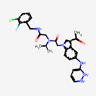 CC(=O)c1cn(CC(=O)N(CC(=O)NCc2cccc(Cl)c2F)C(C)C)c2ccc(NC3=CC=CNN3)cc12